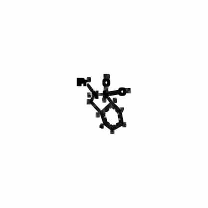 CC(C)N1Cc2ccccc2S1(=O)=O